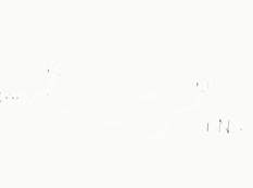 CCCCCCCCCC(=O)c1ccc(CCCC(=O)OC)cc1